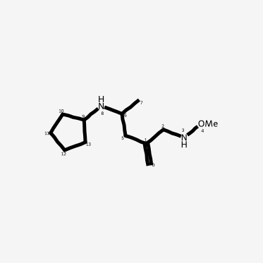 C=C(CNOC)CC(C)NC1CCCC1